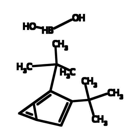 CC(C)(C)c1cc2cc-2c1C(C)(C)C.OBO